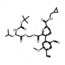 C=Cc1cc(C=O)c(-c2ccc(C(=O)NCC3CC3)nc2C(=O)OCOC(=O)[C@H](CC(C)C)NC(=O)OC(C)(C)C)cc1OC